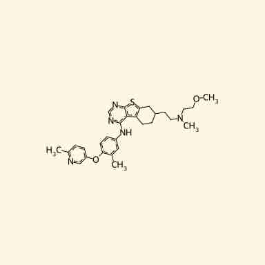 COCCN(C)CCC1CCc2c(sc3ncnc(Nc4ccc(Oc5ccc(C)nc5)c(C)c4)c23)C1